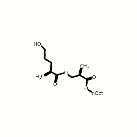 C=C(CCCO)C(=O)OCC(=C)C(=O)OCCCCCCCC